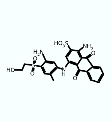 Cc1cc(S(=O)(=O)CCO)c(N)cc1Nc1cc(S(=O)(=O)O)c(N)c2c1C(=O)c1ccccc1C2=O